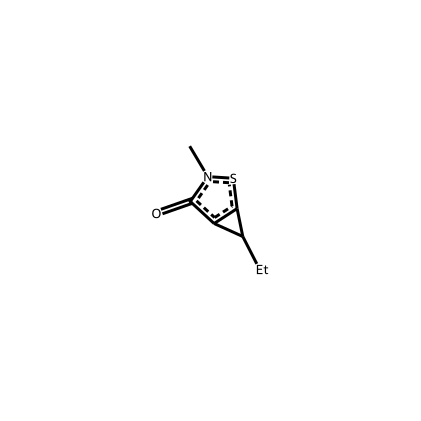 CCC1c2sn(C)c(=O)c21